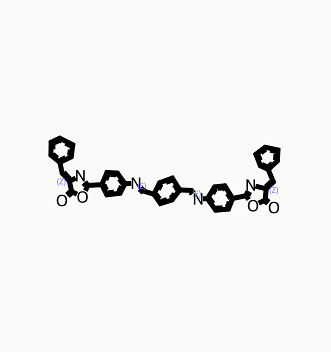 O=C1OC(c2ccc(/N=C/c3ccc(/C=N/c4ccc(C5=N/C(=C\c6ccccc6)C(=O)O5)cc4)cc3)cc2)=N/C1=C\c1ccccc1